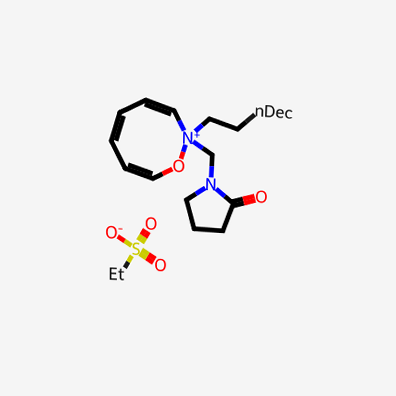 CCCCCCCCCCCC[N+]1(CN2CCCC2=O)C=CC=CC=CO1.CCS(=O)(=O)[O-]